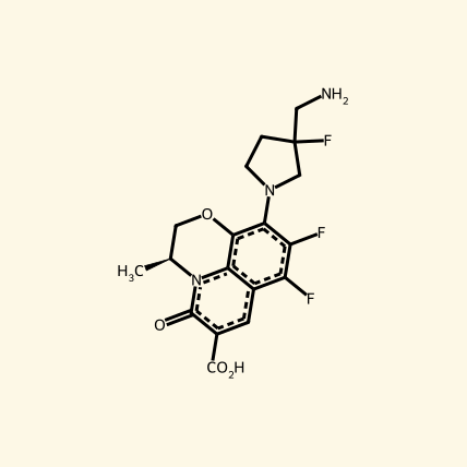 C[C@H]1COc2c(N3CCC(F)(CN)C3)c(F)c(F)c3cc(C(=O)O)c(=O)n1c23